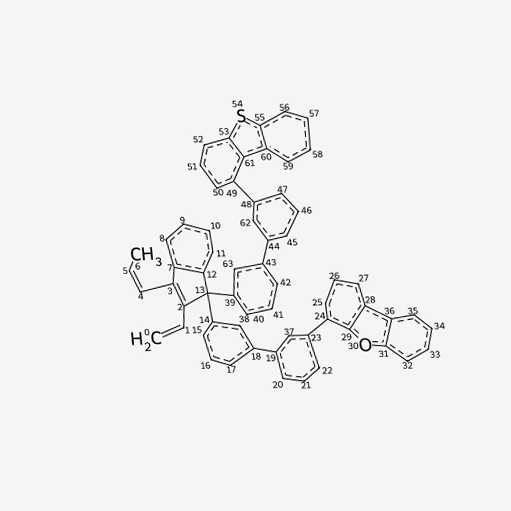 C=CC1=C(/C=C\C)c2ccccc2C1(c1cccc(-c2cccc(-c3cccc4c3oc3ccccc34)c2)c1)c1cccc(-c2cccc(-c3cccc4sc5ccccc5c34)c2)c1